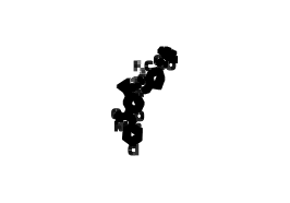 CNC(=O)c1c(-c2ccc(Cl)cc2)oc2cc(N(Cc3ccc(B4OC(C)(C)C(C)(C)O4)c(C(F)(F)F)c3)S(C)(=O)=O)c(C3CC3)cc12